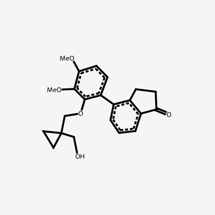 COc1ccc(-c2cccc3c2CCC3=O)c(OCC2(CO)CC2)c1OC